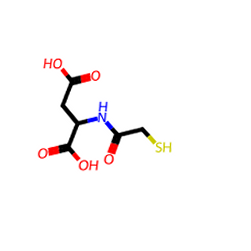 O=C(O)CC(NC(=O)CS)C(=O)O